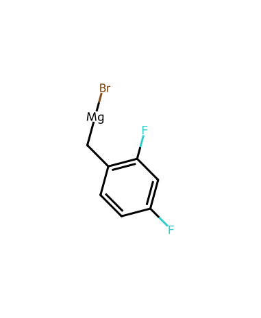 Fc1ccc([CH2][Mg][Br])c(F)c1